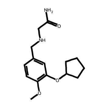 COc1ccc(CNCC(N)=O)cc1OC1CCCC1